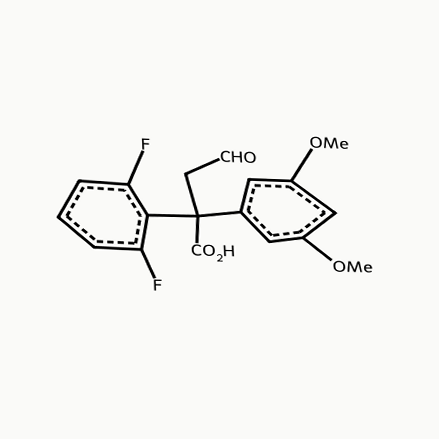 COc1cc(OC)cc(C(CC=O)(C(=O)O)c2c(F)cccc2F)c1